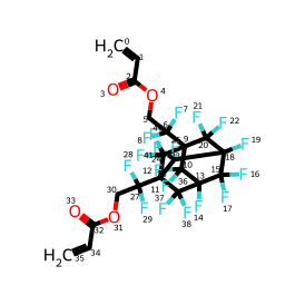 C=CC(=O)OCC(F)(F)C12C(F)(F)C3(F)C(F)(F)C(F)(C1(F)F)C(F)(F)C(C(F)(F)COC(=O)C=C)(C3(F)F)C2(F)F